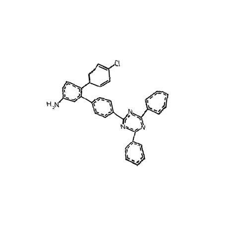 Nc1ccc(C2C=CC(Cl)=CC2)c(-c2ccc(-c3nc(-c4ccccc4)nc(-c4ccccc4)n3)cc2)c1